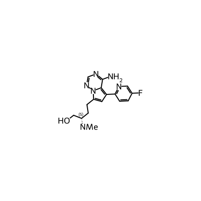 CN[C@H](CO)CCc1cc(-c2ccc(F)cn2)c2c(N)ncnn12